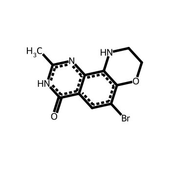 Cc1nc2c3c(c(Br)cc2c(=O)[nH]1)OCCN3